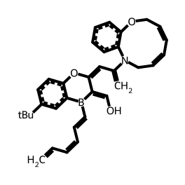 C=C/C=C\C=C\B1C(=C\O)/C(=C\C(=C)N2C/C=C\C=C/COc3ccccc32)Oc2ccc(C(C)(C)C)cc21